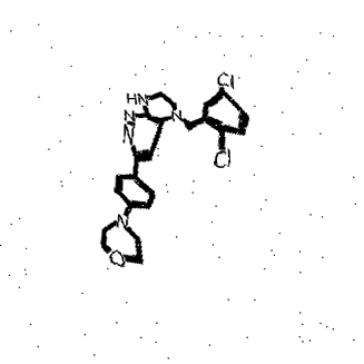 Clc1ccc(Cl)c(CN2CCNc3nnc(-c4ccc(N5CCOCC5)cc4)cc32)c1